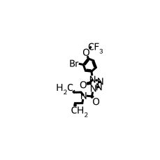 C=CCN(CC=C)C(=O)n1nnn(-c2ccc(OC(F)(F)F)c(Br)c2)c1=O